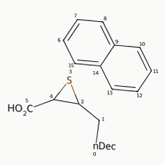 CCCCCCCCCCCC1SC1C(=O)O.c1ccc2ccccc2c1